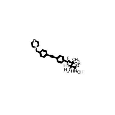 CC(O)(CF)C(C)(NCc1ccc(C#Cc2ccc(CN3CCOCC3)cc2)cc1)C(=O)NO